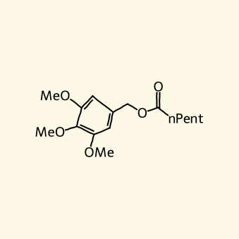 CCCCCC(=O)OCc1cc(OC)c(OC)c(OC)c1